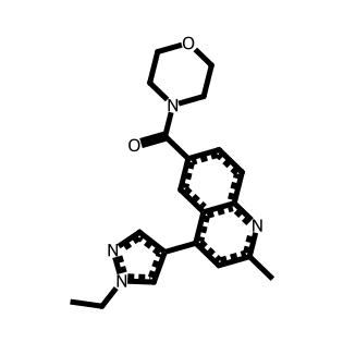 CCn1cc(-c2cc(C)nc3ccc(C(=O)N4CCOCC4)cc23)cn1